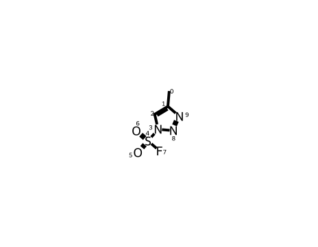 Cc1cn(S(=O)(=O)F)nn1